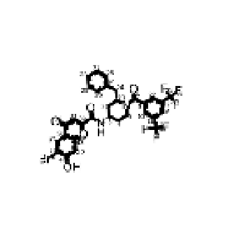 O=C(N[C@H]1CCN(C(=O)c2cc(C(F)(F)F)cc(C(F)(F)F)c2)[C@H](Cc2ccccc2)C1)c1cc(=O)c2cc(Br)c(O)cc2o1